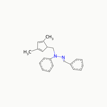 CC1=CC(CN(N=Cc2ccccc2)c2ccccc2)C(C)=C1